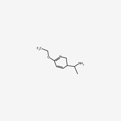 CC(N)C1C=CC(OCC(F)(F)F)=NC1